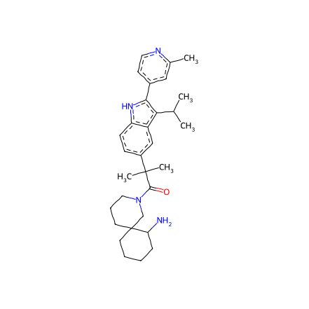 Cc1cc(-c2[nH]c3ccc(C(C)(C)C(=O)N4CCCC5(CCCCC5N)C4)cc3c2C(C)C)ccn1